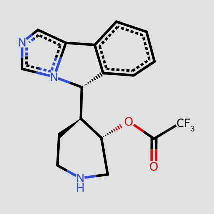 O=C(O[C@@H]1CNCC[C@H]1[C@H]1c2ccccc2-c2cncn21)C(F)(F)F